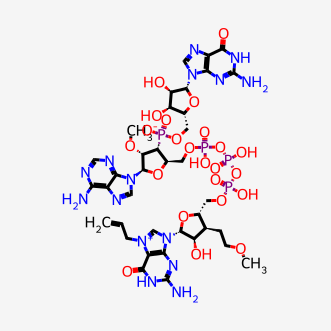 C=CC[n+]1cn([C@@H]2O[C@H](COP(=O)(O)OP(=O)(O)OP(=O)(O)OC[C@H]3O[C@@H](n4cnc5c(N)ncnc54)[C@H](OC)[C@@H]3P(=O)([O-])OC[C@H]3O[C@@H](n4cnc5c(=O)[nH]c(N)nc54)[C@H](O)[C@@H]3O)[C@@H](CCOC)[C@H]2O)c2nc(N)[nH]c(=O)c21